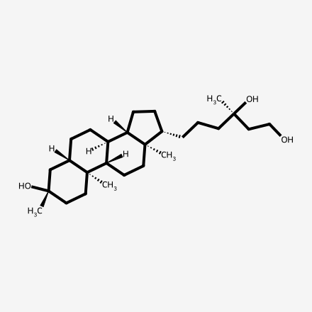 C[C@](O)(CCO)CCC[C@H]1CC[C@H]2[C@@H]3CC[C@H]4C[C@@](C)(O)CC[C@]4(C)[C@H]3CC[C@]12C